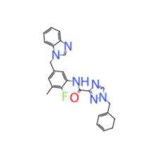 Cc1cc(Cn2cnc3ccccc32)cc(NC(=O)c2ncn(CC3=CC=CCC3)n2)c1F